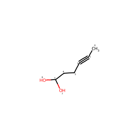 CC#CCCC(O)O